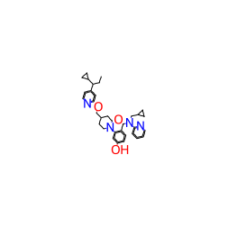 CCC(c1ccnc(OCC2CCN(c3cc(O)ccc3C(=O)N(CC3CC3)c3ccccn3)CC2)c1)C1CC1